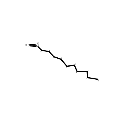 CCCCCCCCCC[S+]=O